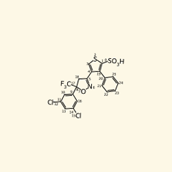 O=S(=O)(O)c1scc(C2=NOC(c3cc(Cl)cc(Cl)c3)(C(F)(F)F)C2)c1-c1ccccc1